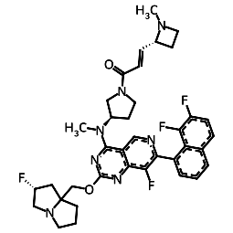 CN1CC[C@@H]1/C=C/C(=O)N1CC[C@@H](N(C)c2nc(OCC34CCCN3C[C@H](F)C4)nc3c(F)c(-c4cccc5ccc(F)c(F)c45)ncc23)C1